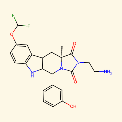 C[C@@]12CC3c4cc(OC(F)F)ccc4NC3[C@@H](c3cccc(O)c3)N1C(=O)N(CCN)C2=O